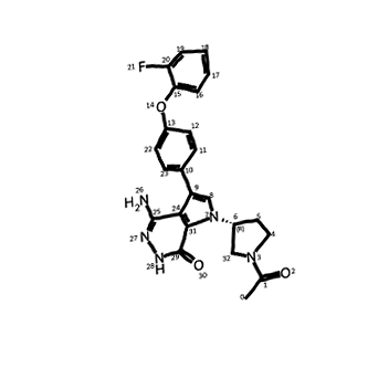 CC(=O)N1CC[C@@H](n2cc(-c3ccc(Oc4ccccc4F)cc3)c3c(N)n[nH]c(=O)c32)C1